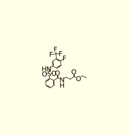 CCOC(=O)CCNC(=O)c1ccccc1S(=O)(=O)Nc1ccc(F)c(C(F)(F)F)c1